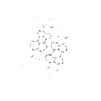 CCCCCC(CCCCC)N1C(=O)c2ccc3c4c(Br)cc5c6c(cc(-c7cc8c9c(cc(Br)c%10c%11ccc%12c%13c(ccc(c7c9%10)c%13%11)C(=O)N(C(CCCCC)CCCCC)C%12=O)C(=O)N(C(CCCCC)CCCCC)C8=O)c(c7ccc(c2c37)C1=O)c64)C(=O)N(C(CCCCC)CCCCC)C5=O